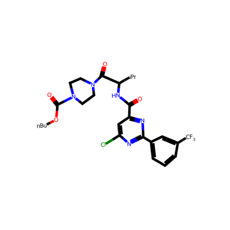 CCCCOC(=O)N1CCN(C(=O)C(NC(=O)c2cc(Cl)nc(-c3cccc(C(F)(F)F)c3)n2)C(C)C)CC1